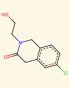 O=C1Cc2cc(Cl)ccc2CN1CCO